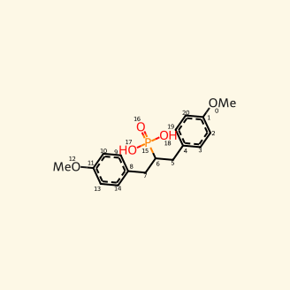 COc1ccc(CC(Cc2ccc(OC)cc2)P(=O)(O)O)cc1